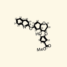 COC(=O)c1cccc(OC2CCOc3ccc(Oc4ccc5ccccc5n4)cc3C2O)c1